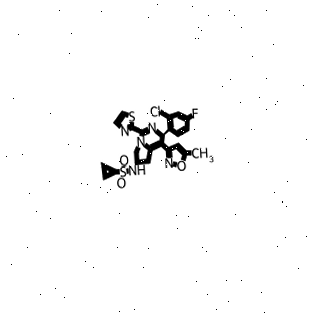 Cc1cc(C2=C3C[C@H](NS(=O)(=O)C4CC4)CN3C(c3nccs3)=N[C@H]2c2ccc(F)cc2Cl)no1